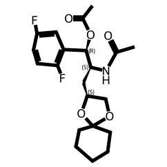 CC(=O)N[C@@H](C[C@H]1COC2(CCCCC2)O1)[C@H](OC(C)=O)c1cc(F)ccc1F